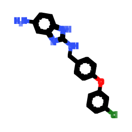 Nc1ccc2[nH]c(NCc3ccc(Oc4cccc(Cl)c4)cc3)nc2c1